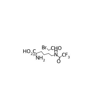 N[C@@H](CCCCNC(=O)C(F)(F)F)C(=O)O.O=CCBr